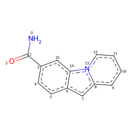 NC(=O)c1ccc2cc3ccccn3c2c1